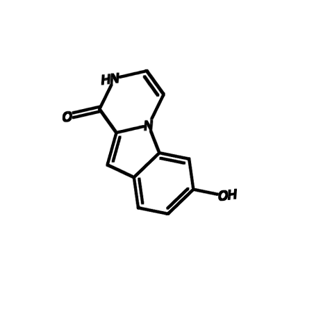 O=c1[nH]ccn2c1cc1ccc(O)cc12